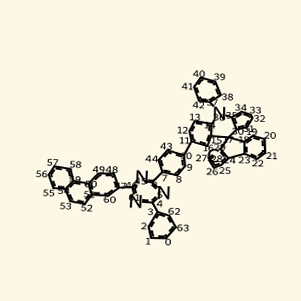 c1ccc(-c2nc(-c3ccc(-c4ccc5c(c4)C4(c6ccccc6-c6ccccc64)c4ccccc4N5c4ccccc4)cc3)nc(-c3ccc4c(ccc5ccccc54)c3)n2)cc1